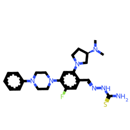 CN(C)[C@@H]1CCN(c2cc(N3CCN(c4ccccc4)CC3)c(F)cc2C=NNC(N)=S)C1